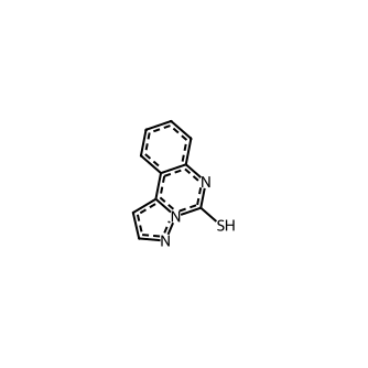 Sc1nc2ccccc2c2ccnn12